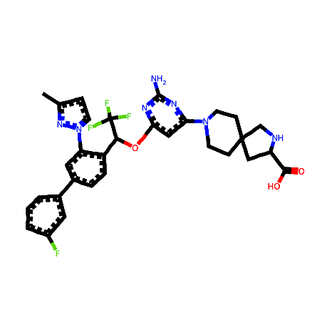 Cc1ccn(-c2cc(-c3cccc(F)c3)ccc2C(Oc2cc(N3CCC4(CC3)CNC(C(=O)O)C4)nc(N)n2)C(F)(F)F)n1